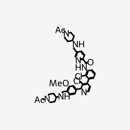 COc1cc(-c2nccc(-c3cccc(NC(=O)c4ccc(CNC5CCN(C(C)=O)CC5)cn4)c3Cl)c2Cl)ccc1CNC1CCN(C(C)=O)CC1